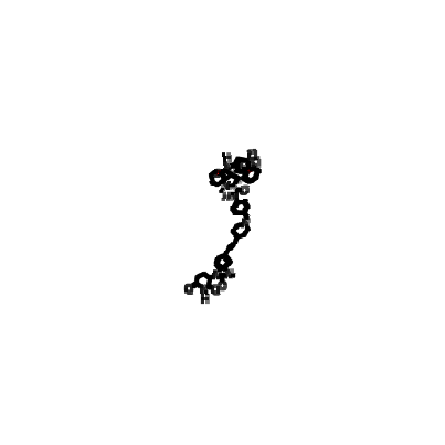 CN1[C@@H](C(=O)Nc2ccc(CN3CCC(C#Cc4ccc5c(c4)n(C)c(=O)n5C4CCC(=O)NC4=O)CC3)cc2)[C@H](c2cccc(Cl)c2F)[C@]2(C(=O)Nc3cc(Cl)ccc32)C12CCCCC2